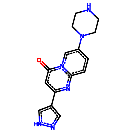 O=c1cc(-c2cn[nH]c2)nc2ccc(N3CCNCC3)cn12